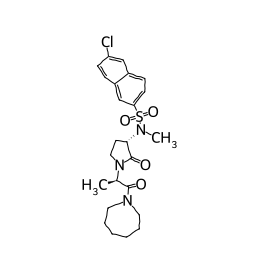 C[C@H](C(=O)N1CCCCCC1)N1CC[C@H](N(C)S(=O)(=O)c2ccc3cc(Cl)ccc3c2)C1=O